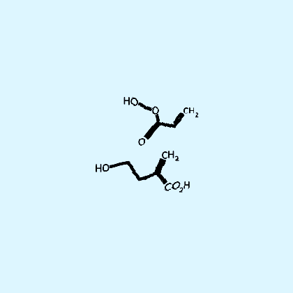 C=C(CCO)C(=O)O.C=CC(=O)OO